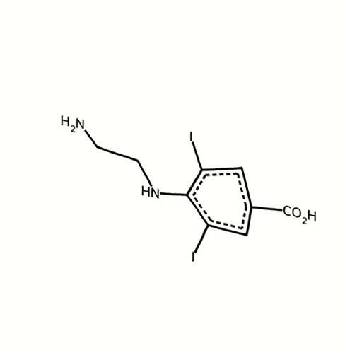 NCCNc1c(I)cc(C(=O)O)cc1I